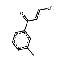 Cc1cccc(C(=O)/C=C/C(F)(F)F)c1